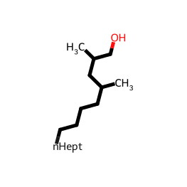 CCCCCCCCCCCC(C)CC(C)CO